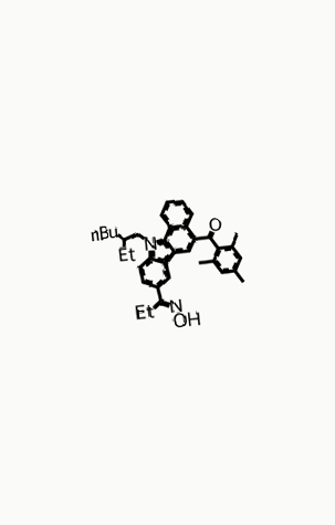 CCCCC(CC)Cn1c2ccc(C(CC)=NO)cc2c2cc(C(=O)c3c(C)cc(C)cc3C)c3ccccc3c21